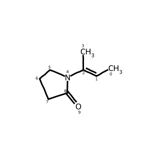 CC=C(C)N1CCCC1=O